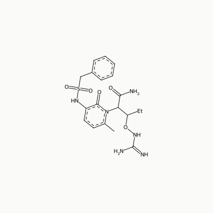 CCC(ONC(=N)N)C(C(N)=O)n1c(C)ccc(NS(=O)(=O)Cc2ccccc2)c1=O